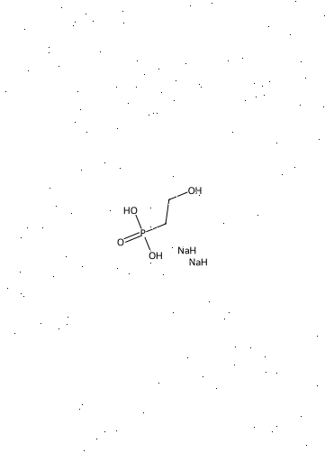 O=P(O)(O)CCO.[NaH].[NaH]